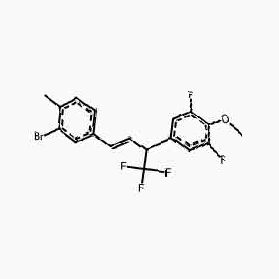 COc1c(F)cc(C(/C=C/c2ccc(C)c(Br)c2)C(F)(F)F)cc1F